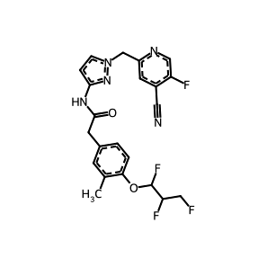 Cc1cc(CC(=O)Nc2ccn(Cc3cc(C#N)c(F)cn3)n2)ccc1OC(F)C(F)CF